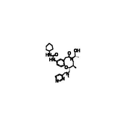 C[C@@H]1CN([C@@H](C)CO)C(=O)Cc2cc(NC(=O)NC3CCCCC3)ccc2O[C@H]1CN(C)Cc1ccncn1